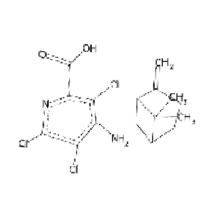 C=C1CCC2CC1C2(C)C.Nc1c(Cl)c(Cl)nc(C(=O)O)c1Cl